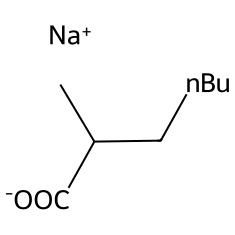 CCCCCC(C)C(=O)[O-].[Na+]